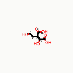 O=C(O)C(O)=C(CCO)C(=O)O